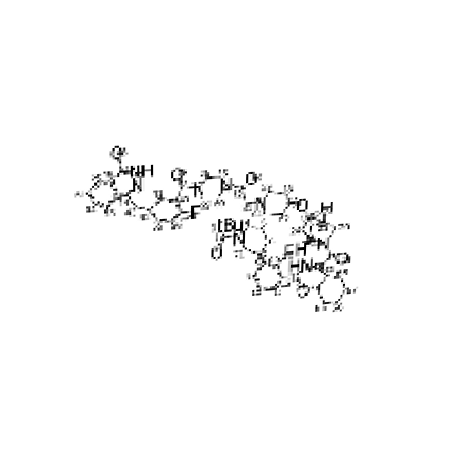 CC(C)(C)C(=O)N1CCC[C@@H](c2cccc(C(=O)N[C@@H](C(=O)N3C[C@@H]4C[C@H]3C[C@@H]4OC3CCN(CC(=O)N4CCN(C(=O)c5cc(Cc6n[nH]c(=O)c7ccccc67)ccc5F)CC4)CC3)C3CCCCC3)c2F)C1